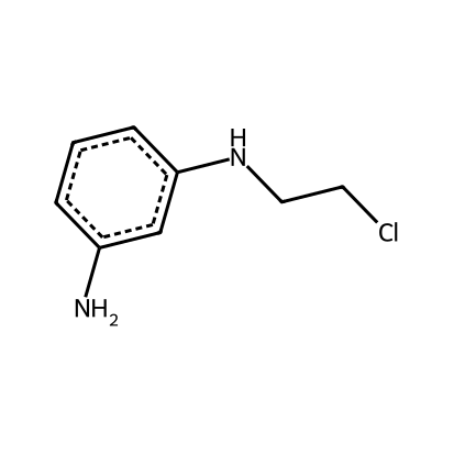 Nc1cccc(NCCCl)c1